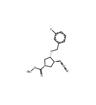 CC(C)(C)OC(=O)N1C[C@H](N=[N+]=[N-])[C@@H](OCc2cccc(F)c2)C1